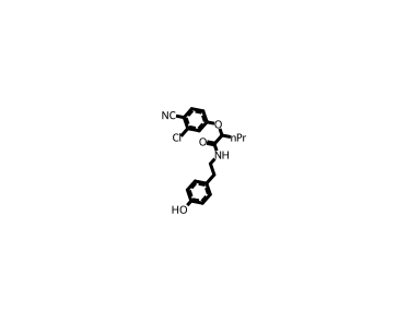 CCCC(Oc1ccc(C#N)c(Cl)c1)C(=O)NCCc1ccc(O)cc1